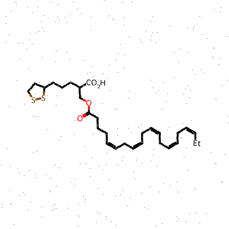 CC/C=C\C/C=C\C/C=C\C/C=C\C/C=C\CCCC(=O)OCC(CCCC1CCSS1)C(=O)O